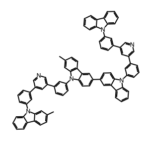 Cc1ccc2c3ccccc3n(-c3cccc(-c4cncc(-c5cccc(-n6c7ccc(-c8ccc9c(c8)c8ccccc8n9-c8cccc(-c9cncc(-c%10cccc(-n%11c%12ccccc%12c%12ccccc%12%11)c%10)c9)c8)cc7c7ccc(C)cc76)c5)c4)c3)c2c1